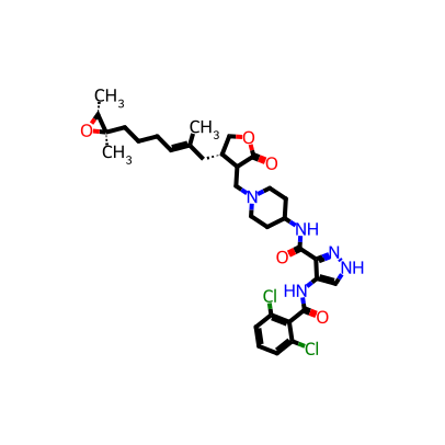 C/C(=C\CCC[C@@]1(C)O[C@@H]1C)C[C@@H]1COC(=O)C1CN1CCC(NC(=O)c2n[nH]cc2NC(=O)c2c(Cl)cccc2Cl)CC1